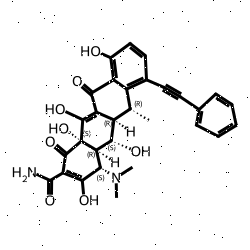 C[C@H]1c2c(C#Cc3ccccc3)ccc(O)c2C(=O)C2=C(O)[C@]3(O)C(=O)C(C(N)=O)=C(O)[C@@H](N(C)C)[C@@H]3[C@@H](O)[C@@H]21